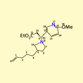 C=CCCCC1CCN([C@@H](CC(=O)OCC)c2ccc(OC)nc2)C1